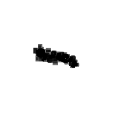 CC(C)(C)OC(=O)N1CCC2(CC1)CC(NC(=O)C(O)Nc1c[nH]c3cc(F)c(F)cc13)CO2